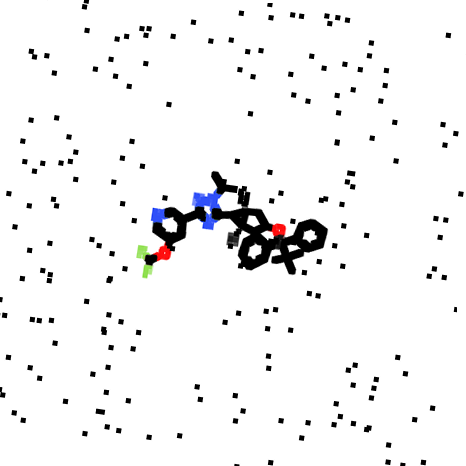 CC(C)n1nc(-c2cncc(OC(F)F)c2)nc1C1[C@H]2CC(O[Si](c3ccccc3)(c3ccccc3)C(C)(C)C)C[C@@H]12